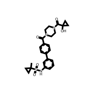 CC1(S(=O)(=O)Nc2cccc(-c3ccc(C(=O)N4CCN(C(=O)C5(O)CC5)CC4)cc3)c2)CC1